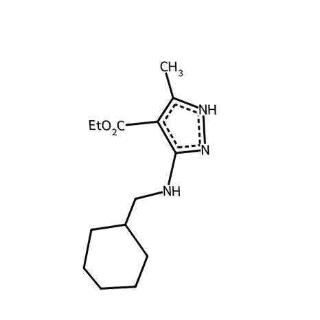 CCOC(=O)c1c(NCC2CCCCC2)n[nH]c1C